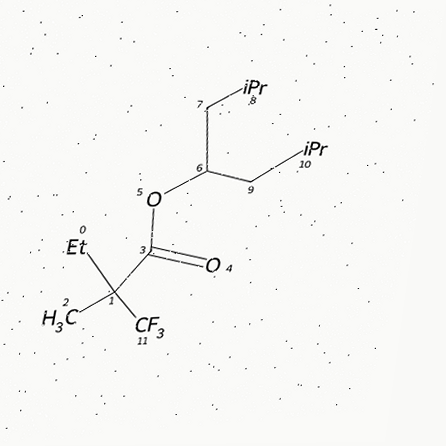 CCC(C)(C(=O)OC(CC(C)C)CC(C)C)C(F)(F)F